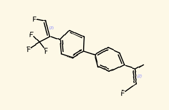 C/C(=C/F)c1ccc(-c2ccc(/C(=C/F)C(F)(F)F)cc2)cc1